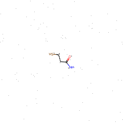 [NH]C(=O)CCS